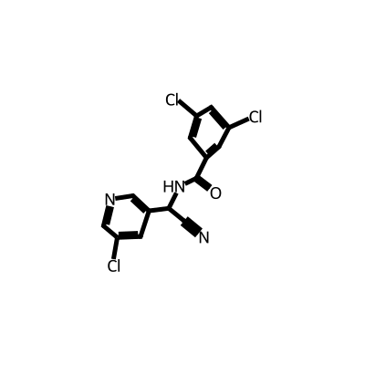 N#CC(NC(=O)c1cc(Cl)cc(Cl)c1)c1cncc(Cl)c1